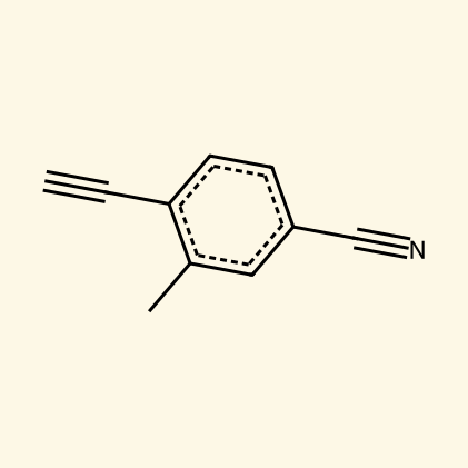 C#Cc1ccc(C#N)cc1C